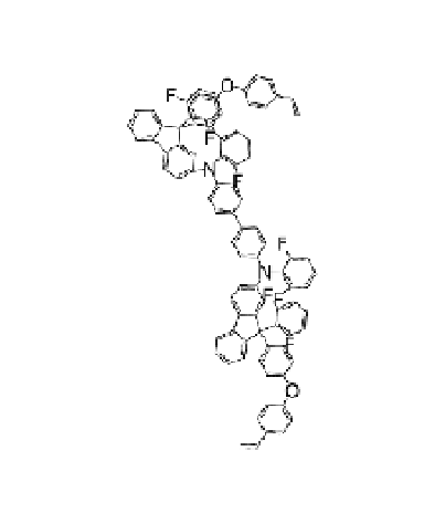 C=Cc1ccc(Oc2ccc(C3(c4c(F)cccc4F)c4ccccc4-c4ccc(N(c5ccc(-c6ccc(N7c8ccc9c(c8)C(c8c(F)cccc8F)(c8ccccc8-9)c8ccc(Oc9ccc(C=C)cc9)cc8-c8cccc(F)c87)cc6)cc5)c5c(F)cccc5F)cc43)cc2)cc1